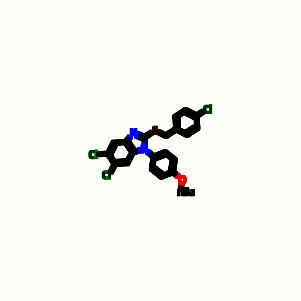 CCCCOc1ccc(-n2c(SCc3ccc(Cl)cc3)nc3cc(Cl)c(Cl)cc32)cc1